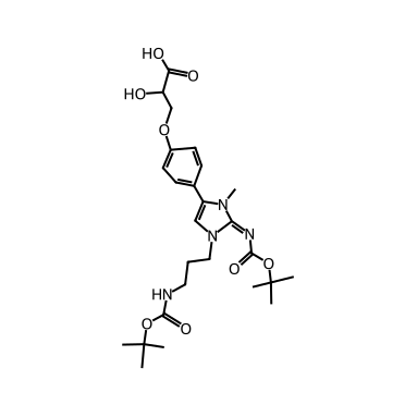 Cn1c(-c2ccc(OCC(O)C(=O)O)cc2)cn(CCCNC(=O)OC(C)(C)C)/c1=N\C(=O)OC(C)(C)C